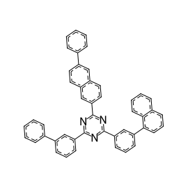 c1ccc(-c2cccc(-c3nc(-c4cccc(-c5cccc6ccccc56)c4)nc(-c4ccc5cc(-c6ccccc6)ccc5c4)n3)c2)cc1